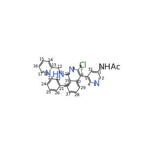 CC(=O)Nc1cncc(-c2c(Cl)nc(NCc3ccccn3)c3c(-c4ccccc4)cccc23)c1